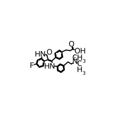 CN(C)CCc1cccc(NC(=C2C(=O)Nc3cc(F)ccc32)c2ccc(CCC(=O)O)cc2)c1